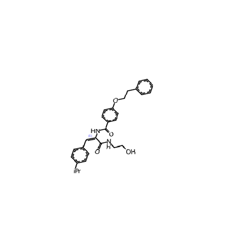 CC(C)c1ccc(/C=C(/NC(=O)c2ccc(OCCc3ccccc3)cc2)C(=O)NCCO)cc1